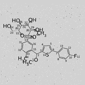 COC(c1ccc(-c2ccc(F)cc2)s1)c1cc([C@]2(OC)O[C@H](CO)[C@@H](O)[C@H](O)[C@H]2O)ccc1C